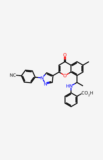 Cc1cc(C(C)Nc2ccccc2C(=O)O)c2oc(-c3cnn(-c4ccc(C#N)cc4)c3)cc(=O)c2c1